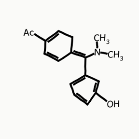 CC(=O)C1=CCC(=C(c2cccc(O)c2)N(C)C)C=C1